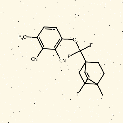 [C-]#[N+]c1c(C(F)(F)F)ccc(OC(F)(F)C23C=C(F)C(C)(CC2)CC3)c1C#N